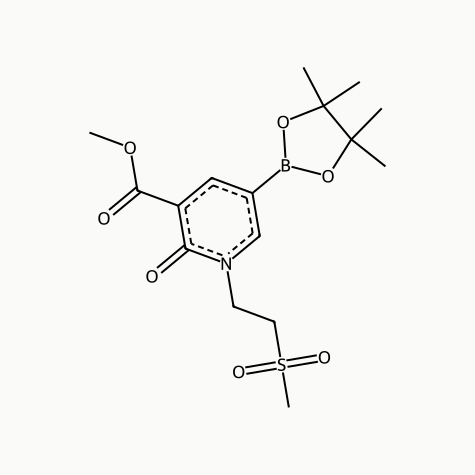 COC(=O)c1cc(B2OC(C)(C)C(C)(C)O2)cn(CCS(C)(=O)=O)c1=O